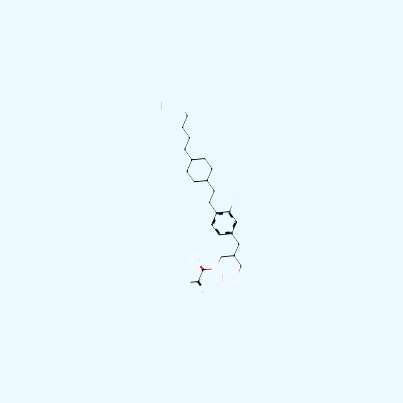 C=C(C)C(=O)OCC(CO)Cc1ccc(CCC2CCC(CCCCC)CC2)c(F)c1